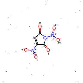 O=C1C=C([N+](=O)[O-])C(=O)N1[N+](=O)[O-]